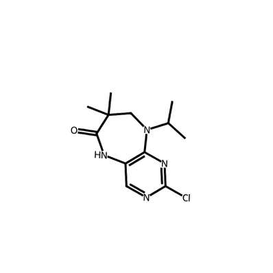 CC(C)N1CC(C)(C)C(=O)Nc2cnc(Cl)nc21